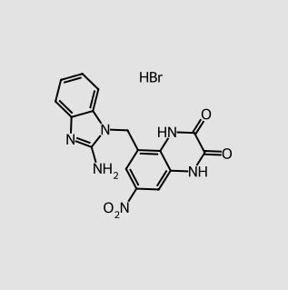 Br.Nc1nc2ccccc2n1Cc1cc([N+](=O)[O-])cc2[nH]c(=O)c(=O)[nH]c12